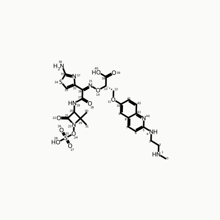 CNCCNc1ccc2cc(OC[C@H](O/N=C(\C(=O)NC3C(=O)N(OS(=O)(=O)O)C3(C)C)c3csc(N)n3)C(=O)O)ccc2n1